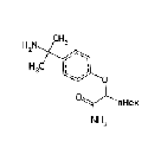 CCCCCCC(Oc1ccc(C(C)(C)N)cc1)C(N)=O